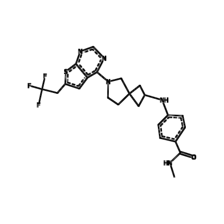 CNC(=O)c1ccc(NC2CC3(CCN(c4ncnc5sc(CC(F)(F)F)cc45)C3)C2)cc1